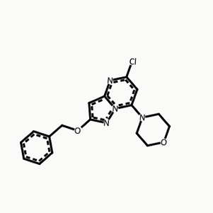 Clc1cc(N2CCOCC2)n2nc(OCc3ccccc3)cc2n1